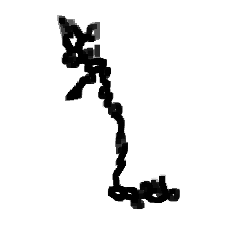 O=C1CCC(N2Cc3c(CCCCCOCCOCCOCCOc4ccc(C(=O)Nc5c(Cl)cncc5Cl)cc4OCC4CC4)cccc3C2=O)C(=O)N1